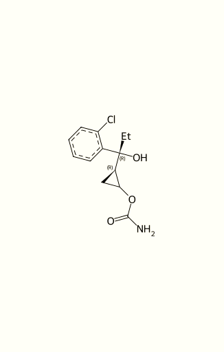 CC[C@](O)(c1ccccc1Cl)[C@@H]1CC1OC(N)=O